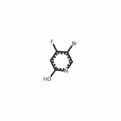 Oc1cc(F)c(Br)cn1